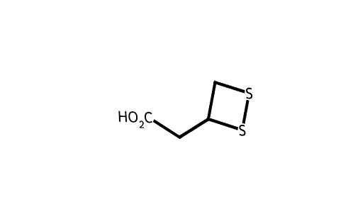 O=C(O)CC1CSS1